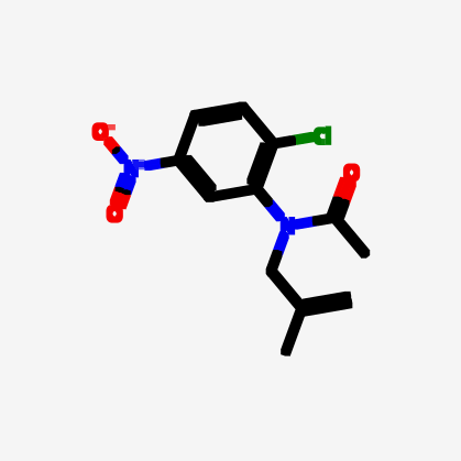 C=C(C)CN(C(C)=O)c1cc([N+](=O)[O-])ccc1Cl